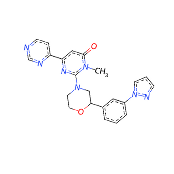 Cn1c(N2CCOC(c3cccc(-n4cccn4)c3)C2)nc(-c2ccncn2)cc1=O